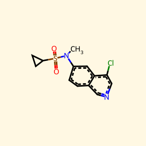 CN(c1ccc2cncc(Cl)c2c1)S(=O)(=O)C1CC1